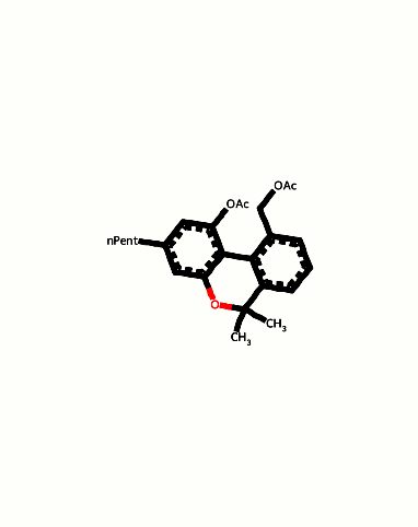 CCCCCc1cc(OC(C)=O)c2c(c1)OC(C)(C)c1cccc(COC(C)=O)c1-2